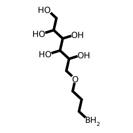 BCCCOCC(O)C(O)C(O)C(O)CO